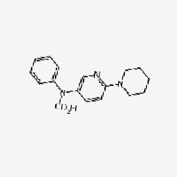 O=C(O)N(c1ccccc1)c1ccc(N2CCCCC2)nc1